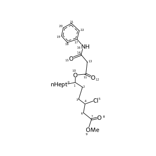 CCCCCCCC(CCC(Cl)CC(=O)OC)OC(=O)CC(=O)Nc1ccccc1